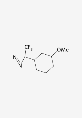 COC1CCCC(C2(C(F)(F)F)N=N2)C1